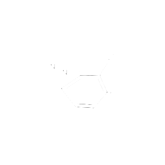 [N].[N].[P]c1ccccc1